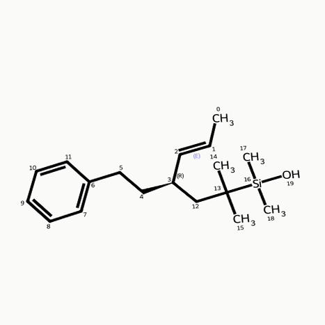 C/C=C/[C@H](CCc1ccccc1)CC(C)(C)[Si](C)(C)O